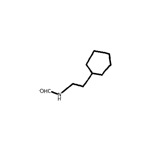 O=[C]NCCC1CCCCC1